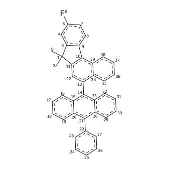 CC1(C)c2cc(F)ccc2-c2c1cc(-c1c3ccccc3c(-c3ccccc3)c3ccccc13)c1ccccc21